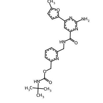 Cc1ccc(-c2cc(C(=O)NCc3cccc(COC(=O)NC(C)(C)C)n3)nc(N)n2)o1